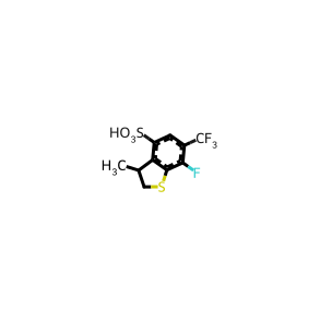 CC1CSc2c(F)c(C(F)(F)F)cc(S(=O)(=O)O)c21